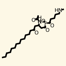 CCCCCCCCCCCCCC(=O)CC(CC(=O)P(O)C(=O)CCCCNC)NC(C)=O